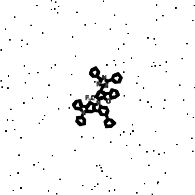 FC(F)(F)c1cc(-c2nc(-c3ccccc3)nc(-c3ccccc3)n2)c2c(oc3ccccc32)c1-n1c2ccc(-c3ccccc3)cc2c2cc3c(cc21)c1ccccc1n3-c1ccccc1